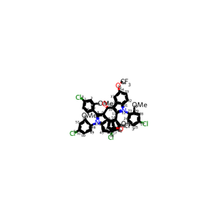 COc1cc(Cl)ccc1-c1c(C(=O)c2c(-c3ccc(Cl)cc3OC)n(-c3ccc(Cl)cc3OC)c3ccc(OC(F)(F)F)cc23)c2cc(OC(F)(F)F)ccc2n1-c1ccc(Cl)cc1OC